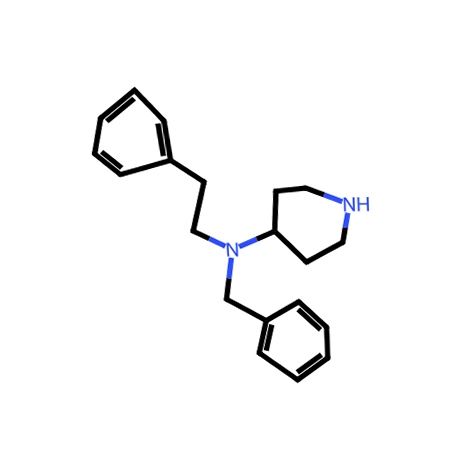 c1ccc(CCN(Cc2ccccc2)C2CCNCC2)cc1